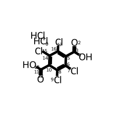 Cl.Cl.O=C(O)c1c(Cl)c(Cl)c(C(=O)O)c(Cl)c1Cl